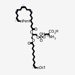 CCCCC/C=C\C/C=C\C/C=C\C/C=C\CCCCCC(=O)O[C@H](COC(=O)CCCCCCC/C=C\CCCCCCCC)COP(=O)(O)OC[C@H](N)C(=O)O